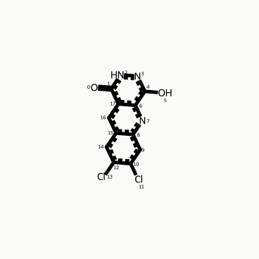 O=c1[nH]nc(O)c2nc3cc(Cl)c(Cl)cc3cc12